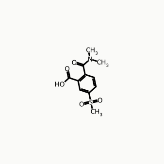 CN(C)C(=O)c1ccc(S(C)(=O)=O)cc1C(=O)O